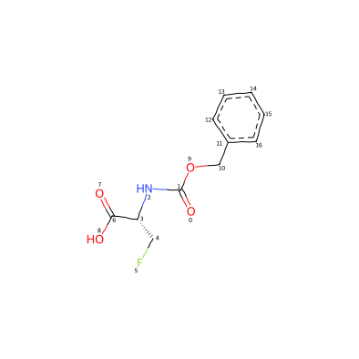 O=C(N[C@H](CF)C(=O)O)OCc1ccccc1